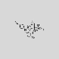 Cc1sc(N(Cc2ccc(Br)c(F)c2)c2ccc(C#N)cc2)nc1C(=O)NS(C)(=O)=O